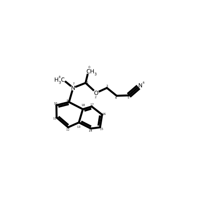 CC(OCCC#N)N(C)c1cccc2ccccc12